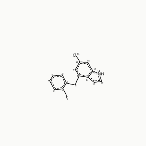 Fc1ccccc1Cc1cc(Cl)cc2[nH]ccc12